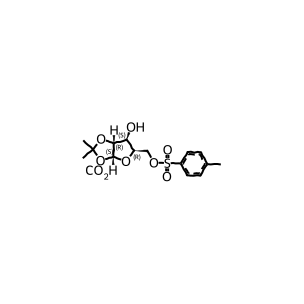 Cc1ccc(S(=O)(=O)OC[C@H]2O[C@]3(C(=O)O)OC(C)(C)O[C@@H]3[C@H]2O)cc1